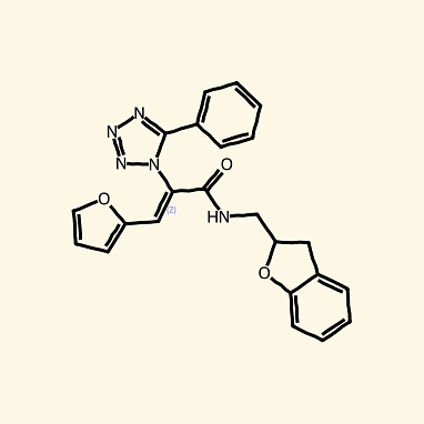 O=C(NCC1Cc2ccccc2O1)/C(=C/c1ccco1)n1nnnc1-c1ccccc1